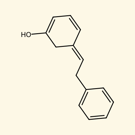 OC1=CC=CC(=CCc2ccccc2)C1